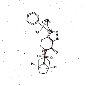 CC(C)(NC1CCN(S(=O)(=O)N2[C@@H]3CC[C@H]2C[C@@H](NC(=O)c2cc(C4CC4)on2)C3)CC1)c1ccccc1